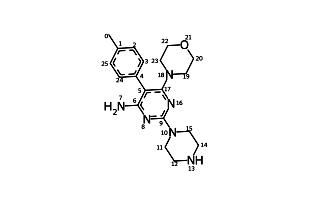 Cc1ccc(-c2c(N)nc(N3CCNCC3)nc2N2CCOCC2)cc1